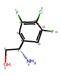 N[C@H](CO)c1cc(F)c(Cl)c(F)c1